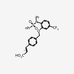 CCCS(=O)(=O)N(c1ccc(C(F)(F)F)cc1OCc1ccc(/C=C/C(=O)O)cc1)C(C)C